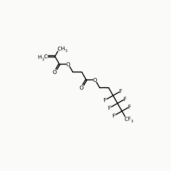 C=C(C)C(=O)OCCC(=O)OCCC(F)(F)C(F)(F)C(F)(F)C(F)(F)F